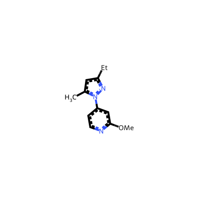 CCc1cc(C)n(-c2ccnc(OC)c2)n1